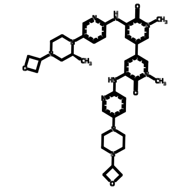 C[C@H]1CN(C2COC2)CCN1c1ccc(Nc2cc(-c3cc(Nc4ccc(N5CCN(C6COC6)CC5)cn4)c(=O)n(C)c3)cn(C)c2=O)nc1